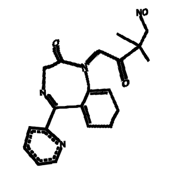 CC(C)(CN=O)C(=O)CN1C(=O)CN=C(c2ccccn2)C2=CCCC=C21